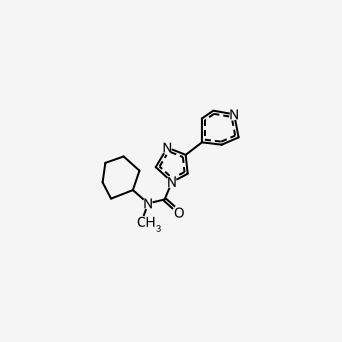 CN(C(=O)n1cnc(-c2ccncc2)c1)C1CCCCC1